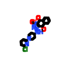 O=C1c2ccccc2C(=O)c2c1n(NC1CCN(c3cccc(Cl)n3)CC1)n[n+]2[O-]